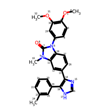 COc1ccc(-n2c(=O)n(C)c3cc(-c4nc[nH]c4-c4cccc(C)c4)ccc32)cc1OC